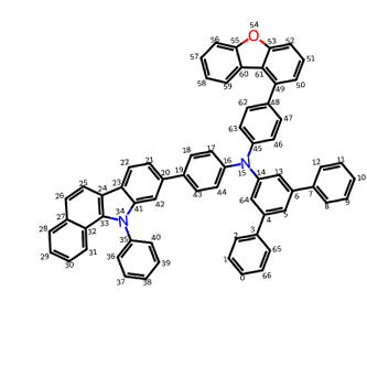 c1ccc(-c2cc(-c3ccccc3)cc(N(c3ccc(-c4ccc5c6ccc7ccccc7c6n(-c6ccccc6)c5c4)cc3)c3ccc(-c4cccc5oc6ccccc6c45)cc3)c2)cc1